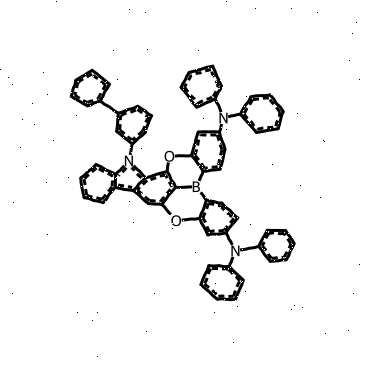 c1ccc(-c2cccc(-n3c4ccccc4c4cc5c6c(c43)Oc3cc(N(c4ccccc4)c4ccccc4)ccc3B6c3ccc(N(c4ccccc4)c4ccccc4)cc3O5)c2)cc1